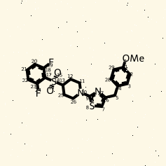 COc1ccc(Cc2csc(N3CCC(S(=O)(=O)c4c(F)cccc4F)CC3)n2)cc1